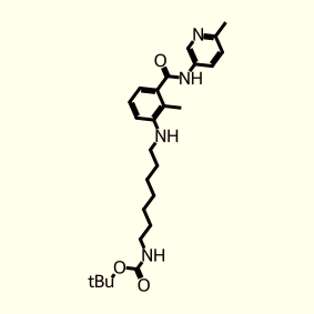 Cc1ccc(NC(=O)c2cccc(NCCCCCCCNC(=O)OC(C)(C)C)c2C)cn1